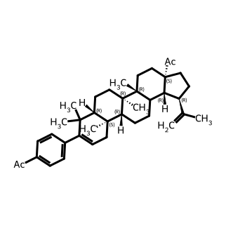 C=C(C)[C@@H]1CC[C@]2(C(C)=O)CC[C@]3(C)C(CC[C@@H]4[C@@]5(C)CC=C(c6ccc(C(C)=O)cc6)C(C)(C)[C@@H]5CC[C@]43C)[C@@H]12